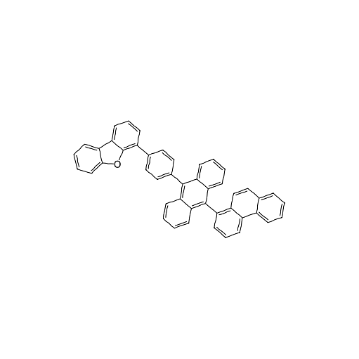 c1ccc2c(c1)ccc1c(-c3c4ccccc4c(-c4ccc(-c5cccc6c5oc5ccccc56)cc4)c4ccccc34)cccc12